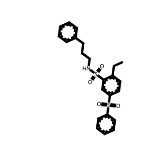 CCc1ccc(S(=O)(=O)c2ccccc2)cc1S(=O)(=O)NCCCc1ccccc1